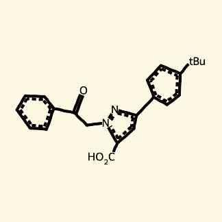 CC(C)(C)c1ccc(-c2cc(C(=O)O)n(CC(=O)c3ccccc3)n2)cc1